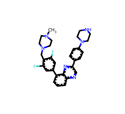 CN1CCN(Cc2c(F)cc(-c3cccc4ncc(-c5ccc(N6CCNCC6)cc5)nc34)cc2F)CC1